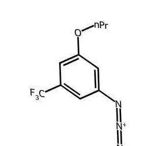 CCCOc1cc(N=[N+]=[N-])cc(C(F)(F)F)c1